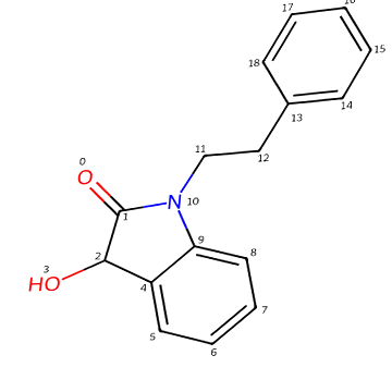 O=C1C(O)c2ccccc2N1CCc1ccccc1